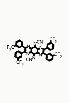 [C-]#[N+]N=C1c2nc(-c3cccc(C(F)(F)F)c3)c(-c3cccc(C(F)(F)F)c3)nc2C(=NC#N)c2nc(-c3cccc(C(F)(F)F)c3)c(-c3cccc(C(F)(F)F)c3)nc21